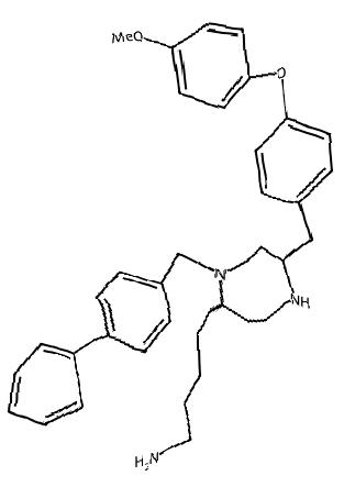 COc1ccc(Oc2ccc(CC3CN(Cc4ccc(-c5ccccc5)cc4)C(CCCCN)CN3)cc2)cc1